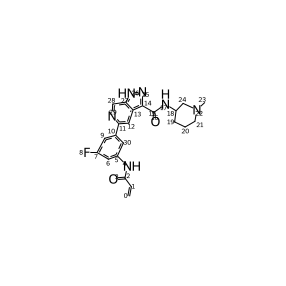 C=CC(=O)Nc1cc(F)cc(-c2cc3c(C(=O)NC4CCCN(C)C4)n[nH]c3cn2)c1